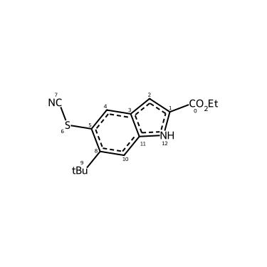 CCOC(=O)c1cc2cc(SC#N)c(C(C)(C)C)cc2[nH]1